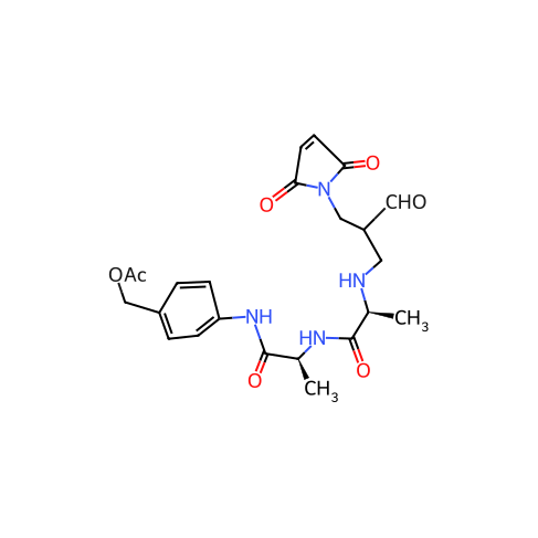 CC(=O)OCc1ccc(NC(=O)[C@H](C)NC(=O)[C@H](C)NCC(C=O)CN2C(=O)C=CC2=O)cc1